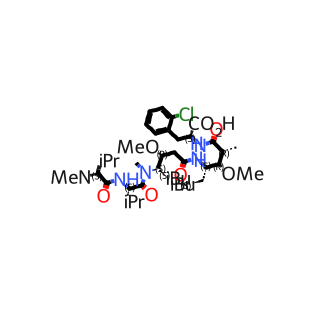 CC[C@H](C)C[C@H](NC(=O)C[C@@H](OC)[C@H]([C@@H](C)CC)N(C)C(=O)[C@@H](NC(=O)[C@@H](NC)C(C)C)C(C)C)[C@H](OC)[C@@H](C)C(=O)N[C@@H](Cc1ccccc1Cl)C(=O)O